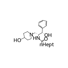 CCCCCCCC(=O)N[C@H](CN1CCC(O)CC1)[C@@H](O)c1ccccc1